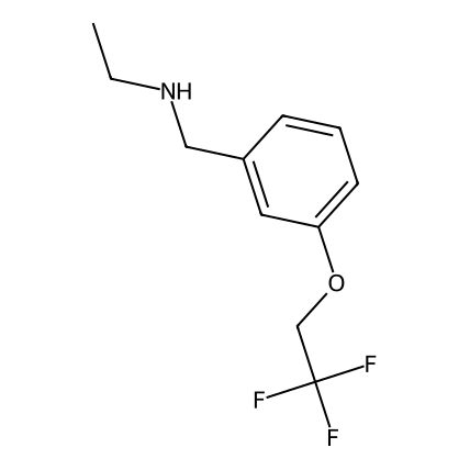 CCNCc1cccc(OCC(F)(F)F)c1